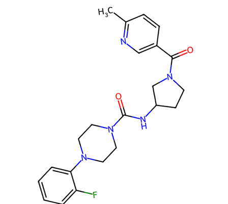 Cc1ccc(C(=O)N2CCC(NC(=O)N3CCN(c4ccccc4F)CC3)C2)cn1